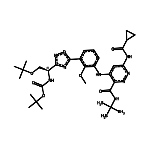 BC(B)(B)NC(=O)c1nnc(NC(=O)C2CC2)cc1Nc1cccc(-c2nc([C@H](COC(C)(C)C)NC(=O)OC(C)(C)C)no2)c1OC